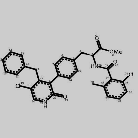 COC(=O)[C@H](Cc1ccc(-c2c(Cc3ccccc3)c(Cl)c[nH]c2=O)cc1)NC(=O)c1c(C)cccc1Cl